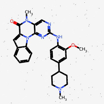 COc1cc(C2CCN(C)CC2)ccc1Nc1ncc2c(n1)n1c(cc3ccccc31)c(=O)n2C